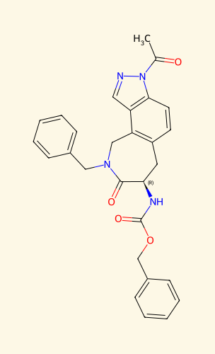 CC(=O)n1ncc2c3c(ccc21)C[C@@H](NC(=O)OCc1ccccc1)C(=O)N(Cc1ccccc1)C3